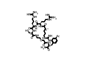 CC(=O)c1ccc(C[C@H](NC(=O)COCCNC(=O)[C@@H](CS)NC(=O)[C@@H](CCCNC(=N)N)NC(=O)[C@@H](CCCNC(=N)N)NC(=O)[C@H](C)CCCNC(=N)N)C(N)=O)cc1